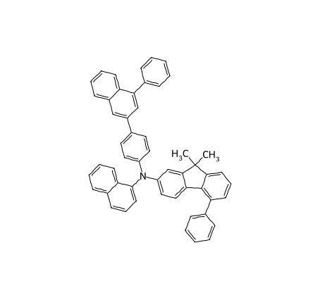 CC1(C)c2cc(N(c3ccc(-c4cc(-c5ccccc5)c5ccccc5c4)cc3)c3cccc4ccccc34)ccc2-c2c(-c3ccccc3)cccc21